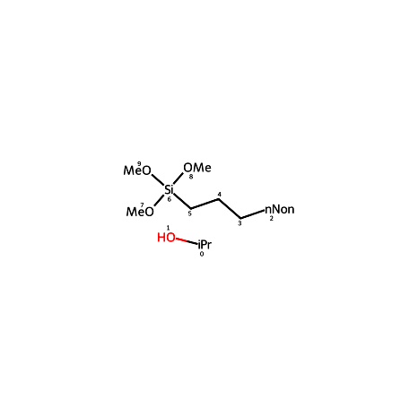 CC(C)O.CCCCCCCCCCCC[Si](OC)(OC)OC